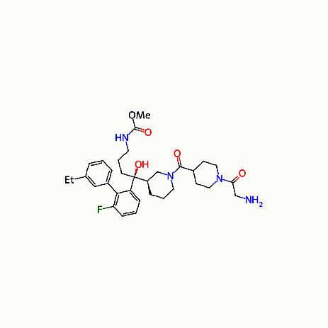 CCc1cccc(-c2c(F)cccc2[C@](O)(CCCNC(=O)OC)[C@@H]2CCCN(C(=O)C3CCN(C(=O)CN)CC3)C2)c1